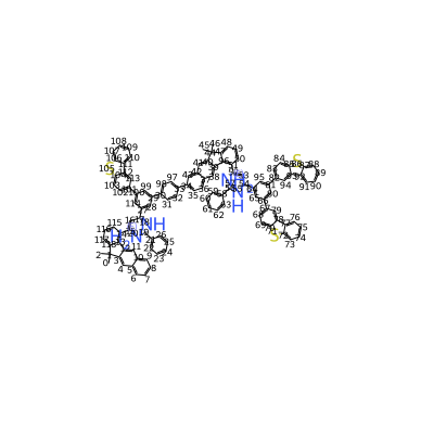 CC1(C)c2cc3ccccc3cc2-c2c(/C=C/C(NC(N)c3ccccc3)c3cc(-c4ccc(-c5ccc6cc7c(cc6c5)C(C)(C)c5cccc(/C=C/C(NC(N)c6ccccc6)c6cc(-c8ccc9sc%10ccccc%10c9c8)cc(-c8ccc9sc%10ccccc%10c9c8)c6)c5-7)cc4)cc(-c4ccc5sc6ccccc6c5c4)c3)cccc21